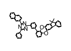 CC1(C)c2ccccc2-c2cc3c(cc21)Oc1c(cccc1-c1cccc(-c2nc(-c4ccccc4)nc(-c4ccc5ccccc5c4)n2)c1)O3